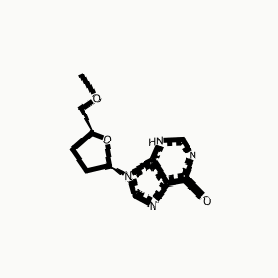 COC[C@@H]1CC[C@H](n2cnc3c(=O)nc[nH]c32)O1